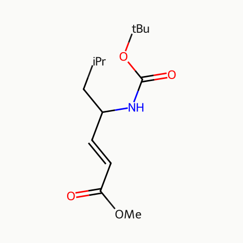 COC(=O)C=CC(CC(C)C)NC(=O)OC(C)(C)C